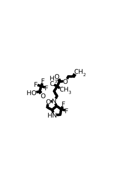 C=CCOC(=O)C(C)(C)CCN1OCC2NCC(F)(F)C21.O=C(O)C(F)(F)F